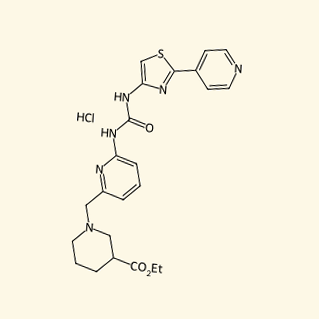 CCOC(=O)C1CCCN(Cc2cccc(NC(=O)Nc3csc(-c4ccncc4)n3)n2)C1.Cl